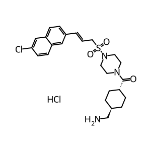 Cl.NC[C@H]1CC[C@H](C(=O)N2CCN(S(=O)(=O)CC=Cc3ccc4cc(Cl)ccc4c3)CC2)CC1